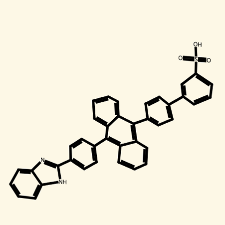 O=S(=O)(O)c1cccc(-c2ccc(-c3c4ccccc4c(-c4ccc(-c5nc6ccccc6[nH]5)cc4)c4ccccc34)cc2)c1